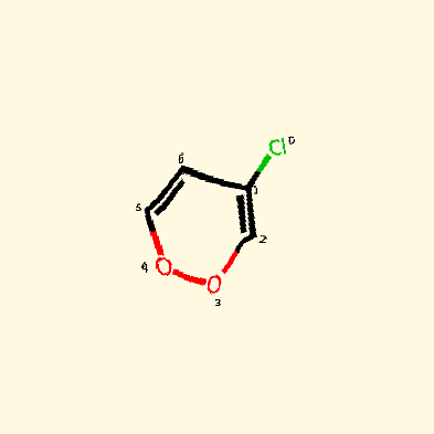 ClC1=COOC=C1